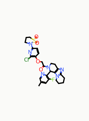 Cc1cnc(C2c3c(nc4n3CCCC4)CCN2C(=O)COc2ccc(N3CCCS3(=O)=O)nc2Cl)c(F)c1